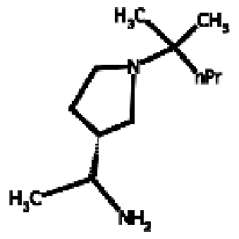 CCCC(C)(C)N1CC[C@@H](C(C)N)C1